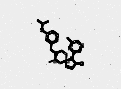 Cc1cncc(N2C(=O)C=C[C@]23CCN(Cc2cccc(OC(C)C)c2)[C@@H](C)C3)n1